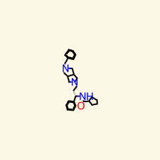 O=C(N[C@@H](CCN1CC2CN(Cc3ccccc3)CC2C1)c1ccccc1)C1CCCC1